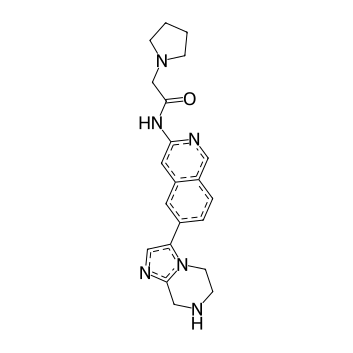 O=C(CN1CCCC1)Nc1cc2cc(-c3cnc4n3CCNC4)ccc2cn1